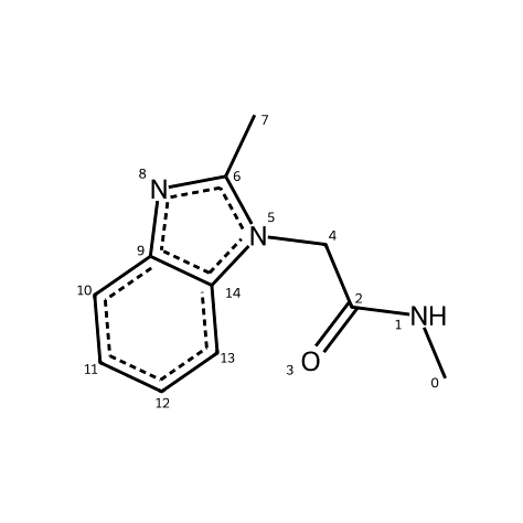 CNC(=O)Cn1c(C)nc2ccccc21